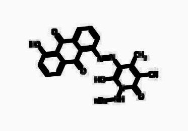 CCCCNn1c(O)c(/N=N/c2cccc3c2C(=O)c2cccc(O)c2C3=O)c(C)c(C#N)c1=O